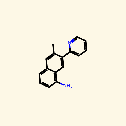 Cc1cc2cccc(N)c2cc1-c1ccccn1